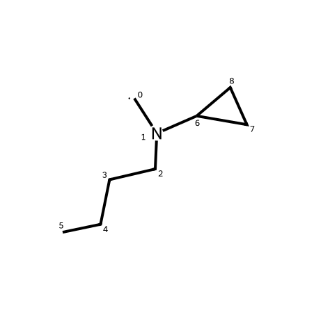 [CH2]N(CCCC)C1CC1